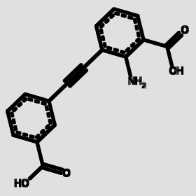 Nc1c(C#Cc2cccc(C(=O)O)c2)cccc1C(=O)O